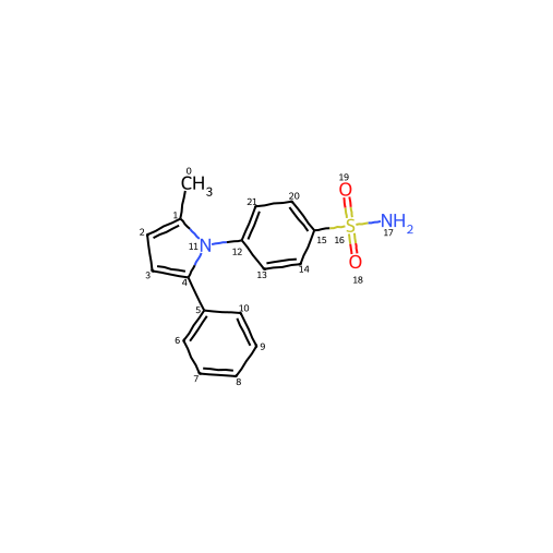 Cc1ccc(-c2ccccc2)n1-c1ccc(S(N)(=O)=O)cc1